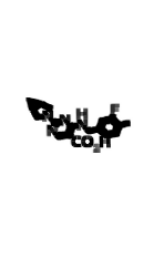 Cc1ccc(CNc2nc(N3CC4CC4C3)ncc2C(=O)O)cc1F